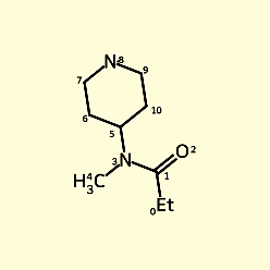 CCC(=O)N(C)C1CC[N]CC1